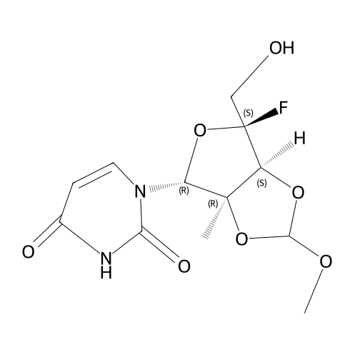 COC1O[C@H]2[C@@](C)(O1)[C@H](n1ccc(=O)[nH]c1=O)O[C@]2(F)CO